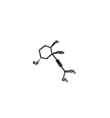 C=C(C)C#C[C@]1(OC)C[C@H](C)CC[C@H]1C(C)C